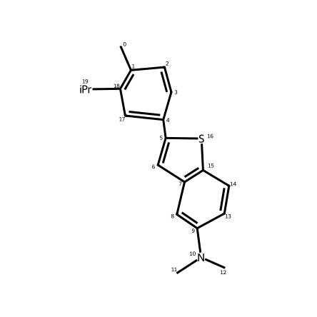 Cc1ccc(-c2cc3cc(N(C)C)ccc3s2)cc1C(C)C